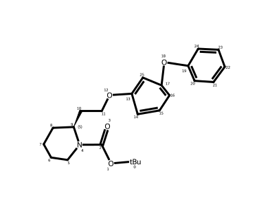 CC(C)(C)OC(=O)N1CCCC[C@H]1CCOc1cccc(Oc2ccccc2)c1